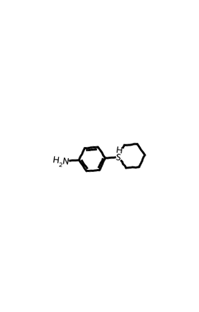 Nc1ccc([SH]2CCCCC2)cc1